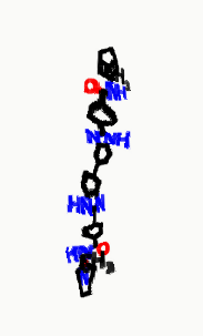 CC1C2CCC1CC(NC(=O)c1ccc(-c3nc4cc(-c5ccc6[nH]c(-c7ccc(C(=O)NC8CC9CCC(C8)N9C)cc7)nc6c5)ccc4[nH]3)cc1)C2